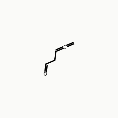 C=C=CCC=O